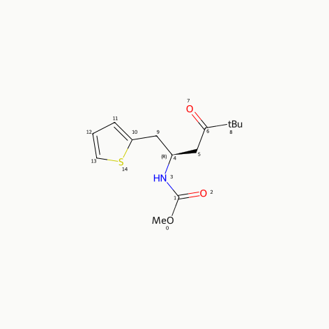 COC(=O)N[C@H](CC(=O)C(C)(C)C)Cc1cccs1